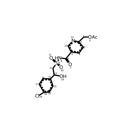 CC(=O)OCc1ccc(C(=O)NS(=O)(=O)CC(O)c2ccc(Cl)cc2)cn1